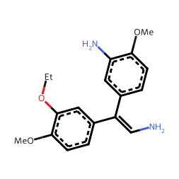 CCOc1cc(C(=CN)c2ccc(OC)c(N)c2)ccc1OC